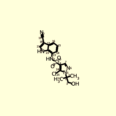 CC(C)(CO)n1ncc(S(=O)(=O)Nc2cccc3c(C#N)c[nH]c23)c1Cl